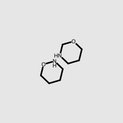 C1CCONC1.C1CNCOC1